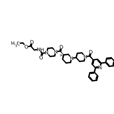 CCOC(=O)CNC(=O)N1CCN(C(=O)[C@@H]2CCCN(C3CCN(C(=O)c4cc(-c5ccccc5)nc(-c5ccccc5)c4)CC3)C2)CC1